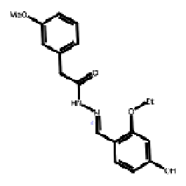 CCOc1cc(O)ccc1/C=N/NC(=O)Cc1cccc(OC)c1